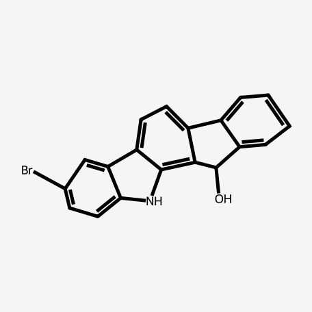 OC1c2ccccc2-c2ccc3c([nH]c4ccc(Br)cc43)c21